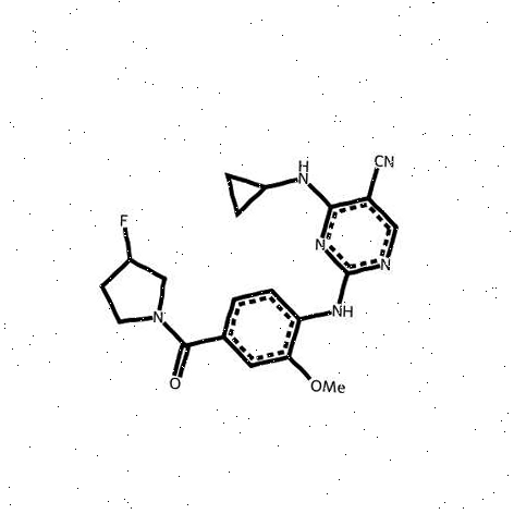 COc1cc(C(=O)N2CCC(F)C2)ccc1Nc1ncc(C#N)c(NC2CC2)n1